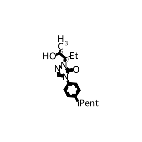 CCCC(C)c1ccc(-n2cnn([C@@H](CC)[C@H](C)O)c2=O)cc1